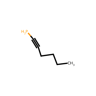 CCCCC#CP